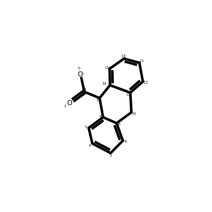 [O]C(=O)C1c2ccccc2Cc2ccccc21